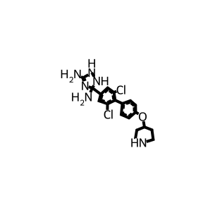 NC1=NC(N)(c2cc(Cl)c(-c3ccc(OC4CCNCC4)cc3)c(Cl)c2)NN1